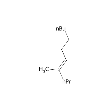 CCCCCC/C=C(\C)CCC